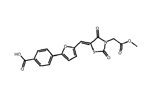 COC(=O)CN1C(=O)S/C(=C\c2ccc(-c3ccc(C(=O)O)cc3)o2)C1=O